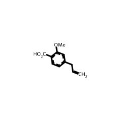 C=CCc1ccc(C(=O)O)c(OC)c1